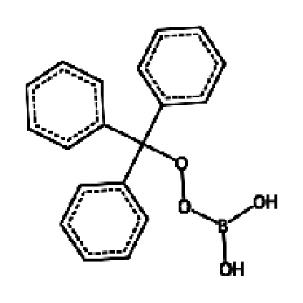 OB(O)OOC(c1ccccc1)(c1ccccc1)c1ccccc1